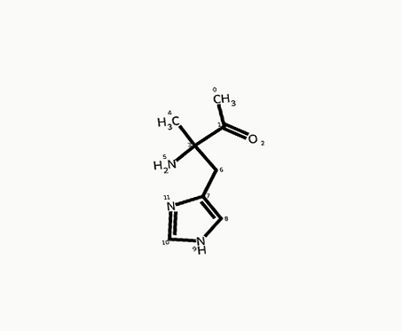 CC(=O)C(C)(N)Cc1c[nH]cn1